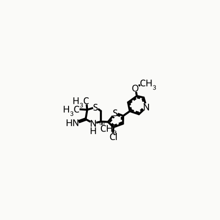 COc1cncc(-c2cc(Cl)c([C@]3(C)CSC(C)(C)C(=N)N3)s2)c1